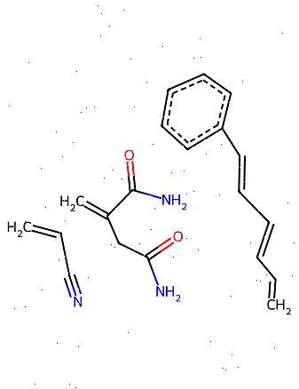 C=C(CC(N)=O)C(N)=O.C=CC#N.C=CC=CC=Cc1ccccc1